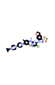 COc1cc(N2CCC(N3CCN(C4CC4)CC3)CC2)c(C)cc1Nc1ncc(Cl)c(Nc2cc3c(cc2N(C)S(C)(=O)=O)CCO3)n1